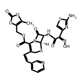 Cc1oc(=O)oc1COC(=O)C1=C(/C=C\c2cccnc2)CS[C@@H]2[C@H](NC(=O)/C(=N\O)c3csc(N)n3)C(=O)N12